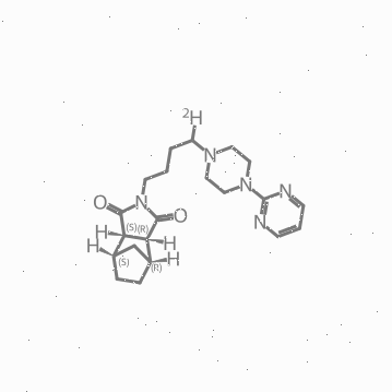 [2H]C(CCCN1C(=O)[C@@H]2[C@@H]3CC[C@@H](C3)[C@@H]2C1=O)N1CCN(c2ncccn2)CC1